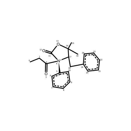 CCC(=O)[N@+]1(c2ccccc2)C(=O)OC(C)(C)C1Cc1ccccc1